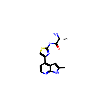 Cc1cc2c(-c3csc(NC(=O)[C@H](N)C(C)C)n3)ccnc2[nH]1